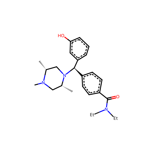 CCN(CC)C(=O)c1ccc([C@H](c2cccc(O)c2)N2C[C@@H](C)N(C)C[C@H]2C)cc1